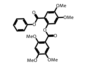 COc1cc(OC)c(C(=O)Oc2cc(OC)c(OC)cc2C(=O)Oc2ccccc2)cc1OC